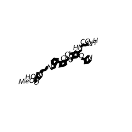 COC(=O)C1(O)CCN(CCCN2CCc3c(-c4cccc(COc5cc(OCc6cccnc6)c(CNC(CO)C(=O)O)cc5Cl)c4C)cccc32)C1